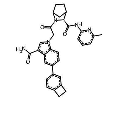 Cc1cccc(NC(=O)[C@@H]2C3CCC(C3)N2C(=O)Cn2cc(C(N)=O)c3cc(-c4ccc5c(c4)CC5)ccc32)n1